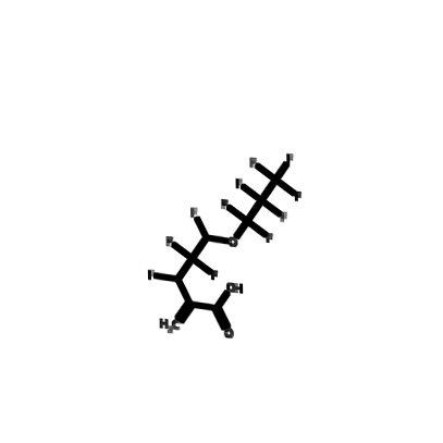 C=C(C(=O)O)C(F)C(F)(F)C(F)OC(F)(F)C(F)(F)C(F)(F)F